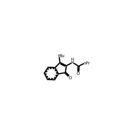 CCCC(=O)NC1=C(C(C)(C)C)c2ccccc2C1=O